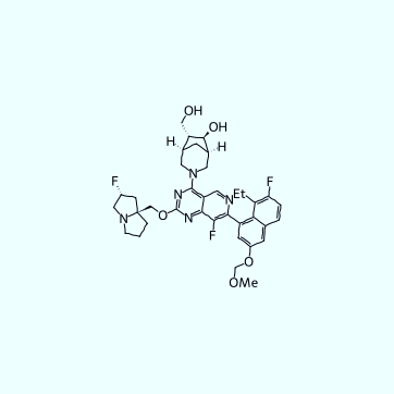 CCc1c(F)ccc2cc(OCOC)cc(-c3ncc4c(N5C[C@H]6C[C@@H](C5)[C@H](CO)[C@H]6O)nc(OC[C@@]56CCCN5C[C@H](F)C6)nc4c3F)c12